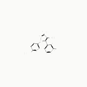 Cc1ccc(-n2nc(C)c(O)c2-c2cccc(C)c2)cc1